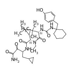 CCN(C(=O)[C@@H](NC(=O)NC1(Cc2ccc(O)cc2)CCCCC1)C(C)(C)C)[C@H](C(=O)NC(CC1CC1)C(=O)C(N)=O)C1CC1(C)C